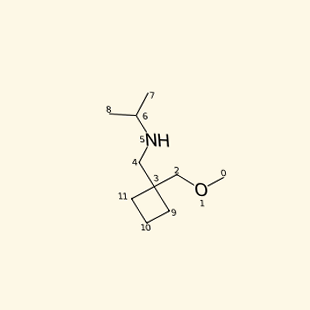 COCC1(CNC(C)C)CCC1